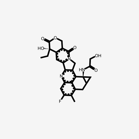 CC[C@@]1(O)C(=O)OCc2c1cc1n(c2=O)Cc2c-1nc1cc(F)c(C)c3c1c2[C@]1(NC(=O)CO)CC1C3